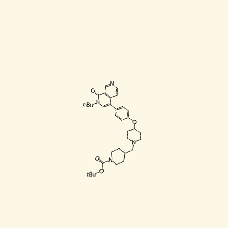 CCCCn1cc(-c2ccc(OC3CCN(CC4CCN(C(=O)OC(C)(C)C)CC4)CC3)cc2)c2ccncc2c1=O